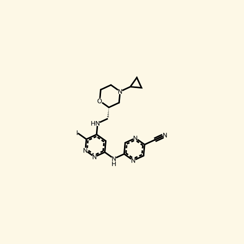 N#Cc1cnc(Nc2cc(NC[C@H]3CN(C4CC4)CCO3)c(I)nn2)cn1